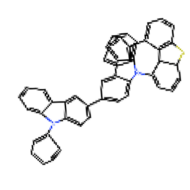 C1=CC2Sc3cccc(-c4ccccc4)c3C2C(n2c3ccccc3c3cc(-c4ccc5c(c4)c4ccccc4n5-c4ccccc4)ccc32)=C1